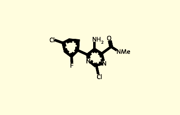 CNC(=O)c1nc(Cl)nc(-c2ccc(Cl)cc2F)c1N